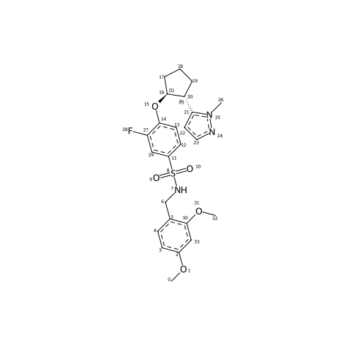 COc1ccc(CNS(=O)(=O)c2ccc(O[C@H]3CCC[C@@H]3c3ccnn3C)c(F)c2)c(OC)c1